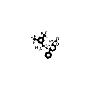 C[C@@H](OC[C@@]1(c2ccccc2)CCC2OC(=O)NC2N1)c1cc(C(F)(F)F)cc(C(F)(F)F)c1